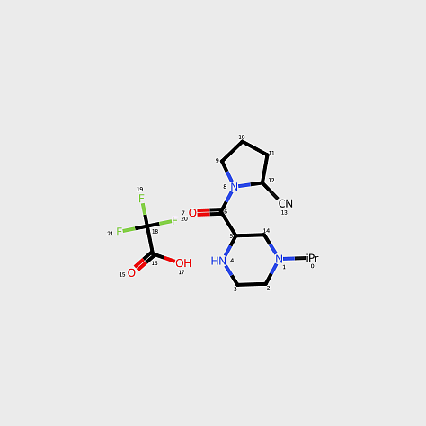 CC(C)N1CCNC(C(=O)N2CCCC2C#N)C1.O=C(O)C(F)(F)F